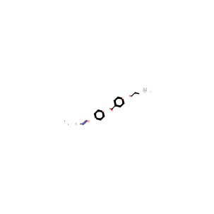 CCCCCCCCC/C=C/Oc1ccc(OC(=O)c2ccc(OCCC[C@@H](C)CC)cc2)cc1